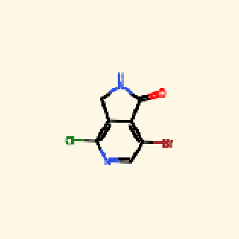 O=C1NCc2c(Cl)ncc(Br)c21